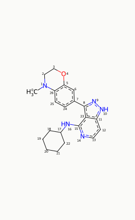 CN1CCOc2cc(-c3n[nH]c4ccnc(NC5CCCCC5)c34)ccc21